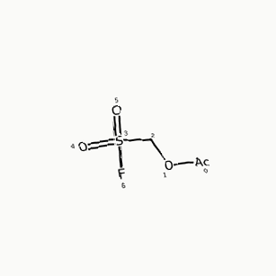 CC(=O)OCS(=O)(=O)F